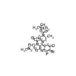 C[C@@H]1CN2c3c4c(nc5c(F)c(Br)c(Cl)cc35)O[C@H](CN(C)C)CN4C(=C=O)[C@H]2CN1C(=O)OC(C)(C)C